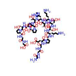 C[C@@H](O)[C@H](NC(=O)[C@H](CCCCN)NC(=O)[C@H](CC(=O)O)NC(=O)[C@H](CO)NC(=O)[C@H](CCCCN)NC(=O)[C@@H]1CCCN1C(=O)[C@H](CCC(=O)O)NC(=O)CNC(=O)CNC(=O)CN)C(=O)N[C@@H](Cc1c[nH]cn1)C(=O)N[C@H](C(=O)N[C@@H](CO)C(=O)N1CCC[C@H]1C(=O)N1CCC[C@H]1C(=O)N[C@@H](CO)C(=O)N1CCC[C@H]1C(=O)NCC(=O)NCC(=O)O)[C@@H](C)O